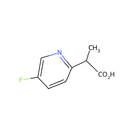 CC(C(=O)O)c1ccc(F)cn1